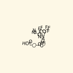 CC[C@@H]1C[C@H](N(Cc2cc(C(F)(F)F)cc(C(F)(F)F)c2)c2ncc(-c3cnn(C)c3)cn2)CN1C(=O)OCC1CCC(CC(=O)O)CC1